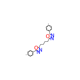 [c]1ccc(-c2nnc(CCCCc3nnc(-c4cc[c]cc4)o3)o2)cc1